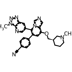 CN1CCC[C@@H](COc2cc(-c3ccc(C#N)cc3)c(-c3cnc4c(c3)nnn4C)n3cncc23)C1